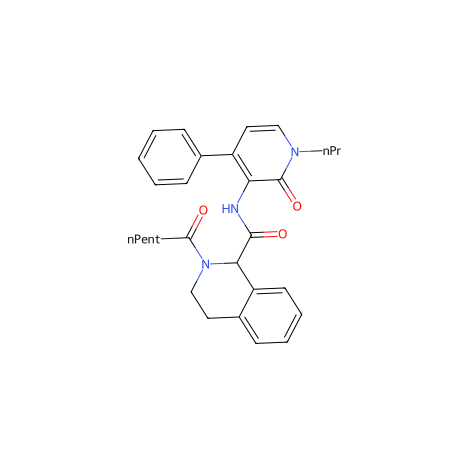 CCCCCC(=O)N1CCc2ccccc2C1C(=O)Nc1c(-c2ccccc2)ccn(CCC)c1=O